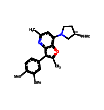 COc1ccc(-c2c(C)oc3c(N4CC[C@@H](NC(C)=O)C4)cc(C)nc23)cc1OC